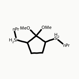 CCC[SiH2]C1CCC([SiH2]CCC)C1(OC)OC